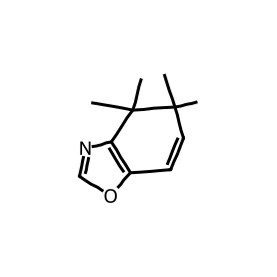 CC1(C)C=Cc2ocnc2C1(C)C